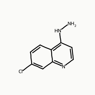 NNc1ccnc2cc(Cl)ccc12